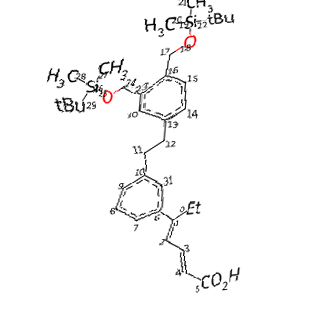 CC/C(=C\C=C\C(=O)O)c1cccc(CCc2ccc(CO[Si](C)(C)C(C)(C)C)c(CO[Si](C)(C)C(C)(C)C)c2)c1